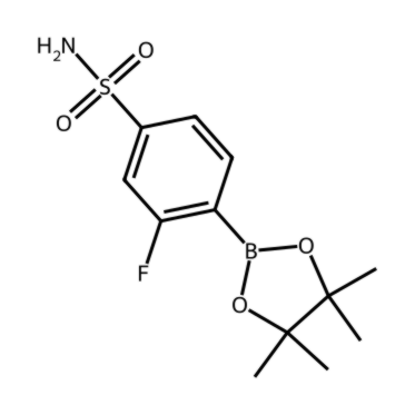 CC1(C)OB(c2ccc(S(N)(=O)=O)cc2F)OC1(C)C